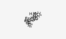 Cc1ccccc1C(=O)Nc1ccc(-c2c(C(F)(F)F)oc3c2CCC3)cn1